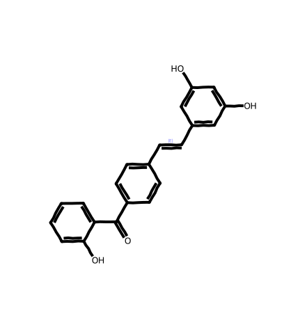 O=C(c1ccc(/C=C/c2cc(O)cc(O)c2)cc1)c1ccccc1O